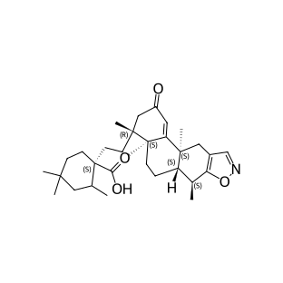 CC1CC(C)(C)CC[C@@]1(CC[C@]1(C)CC(=O)C=C2[C@@]3(C)Cc4cnoc4[C@@H](C)[C@@H]3CC[C@]21C)C(=O)O